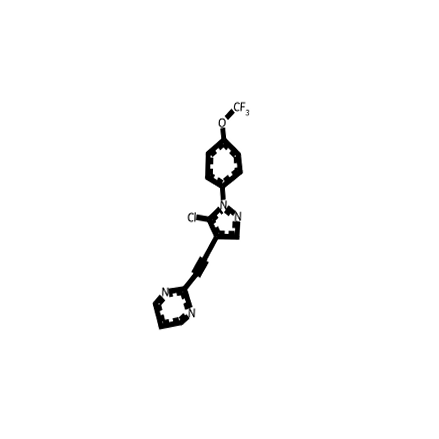 FC(F)(F)Oc1ccc(-n2ncc(C#Cc3ncccn3)c2Cl)cc1